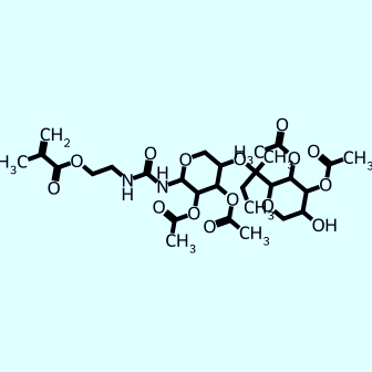 C=C(C)C(=O)OCCNC(=O)NC1OCC(OC(C)(CC)C2OCC(O)C(OC(C)=O)C2OC(C)=O)C(OC(C)=O)C1OC(C)=O